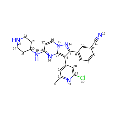 Cc1cc(-c2c(-c3cccc(C#N)c3)nn3ccc(NC4CCNCC4)nc23)cc(Cl)n1